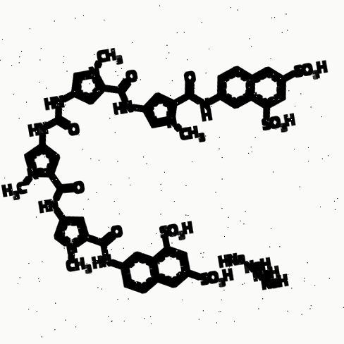 Cn1cc(NC(=O)Nc2cc(C(=O)Nc3cc(C(=O)Nc4ccc5cc(S(=O)(=O)O)cc(S(=O)(=O)O)c5c4)n(C)c3)n(C)c2)cc1C(=O)Nc1cc(C(=O)Nc2ccc3cc(S(=O)(=O)O)cc(S(=O)(=O)O)c3c2)n(C)c1.[NaH].[NaH].[NaH].[NaH]